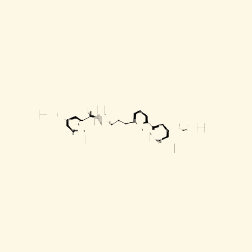 CCOc1cc(C)nc(-c2cccc(CCCO/N=C(\C)c3cc(C)cc(C)n3)n2)c1